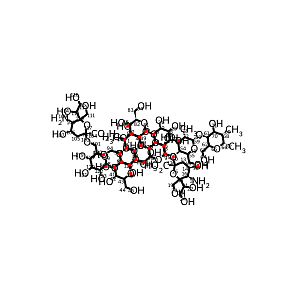 CC1C(O)[C@H](O[C@@H]2OC(CO[C@]3(C(=O)O)C[C@@H](O)[C@@H](N)C(CO)(C(O)CO)O3)[C@H](O)C(O)[C@@H]2O)[C@H](CO)O[C@H]1O[C@@H]1C(O)[C@H](O)C(CO)O[C@@H]1OCC1O[C@@H](O[C@@H]2C(CO)O[C@@H](O[C@@H]3C(CO)O[C@@H](C)[C@@H](C)C3O)[C@@H](C)C2O)[C@H](O)C(O[C@H]2O[C@H](CO)[C@@H](O)C(O)C2O[C@@H]2OC(CO)[C@@H](O[C@@H]3OC(CO[C@]4(C(=O)O)C[C@@H](O)[C@@H](N)C(CO)(C(O)CO)O4)[C@H](O)C(O)[C@@H]3O)C(O)[C@@H]2C)[C@@H]1O